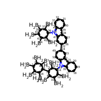 Bc1c(B)c(B)c(-c2c(B)c(B)c(B)c(-n3c4ccccc4c4cc(-c5ccc6c7ccccc7n(-c7c(B)c(B)c(B)c(B)c7B)c6c5)ccc43)c2B)c(B)c1B